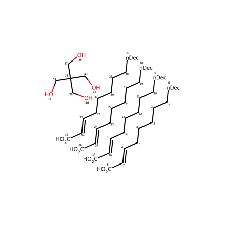 CCCCCCCCCCCCCCCC=CC(=O)O.CCCCCCCCCCCCCCCC=CC(=O)O.CCCCCCCCCCCCCCCC=CC(=O)O.CCCCCCCCCCCCCCCC=CC(=O)O.OCC(CO)(CO)CO